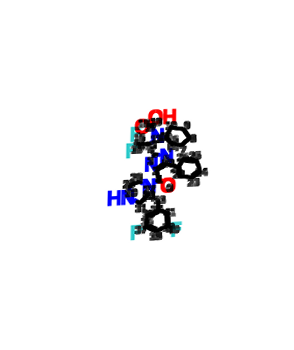 O=C(c1ncn([C@H]2CCCC[C@@H]2N(CC(F)F)C(=O)O)c1-c1ccccc1)N1CCNC[C@H]1Cc1cc(F)cc(F)c1